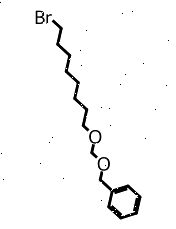 BrCCCCCCCCOCOCc1ccccc1